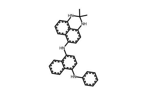 CC1(C)Nc2cccc3c(Nc4ccc(Nc5ccccc5)c5ccccc45)ccc(c23)N1